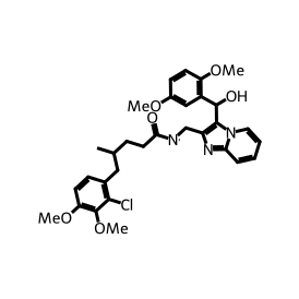 COc1ccc(OC)c(C(O)c2c(C[N]C(=O)CCC(C)Cc3ccc(OC)c(OC)c3Cl)nc3ccccn23)c1